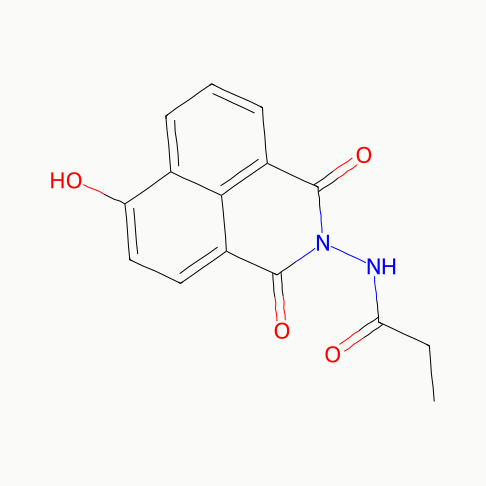 CCC(=O)NN1C(=O)c2cccc3c(O)ccc(c23)C1=O